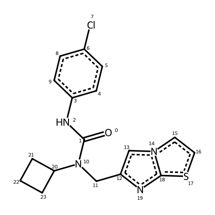 O=C(Nc1ccc(Cl)cc1)N(Cc1cn2ccsc2n1)C1CCC1